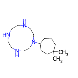 CC1(C)CCCC(N2CCNCCNCCNCC2)CC1